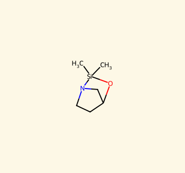 C[Si]1(C)OC2CCN1C2